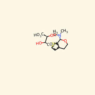 CN(C)[C@H]1OCCc2ccsc21.O=C(O)[C@@H](O)[C@H](O)C(=O)O